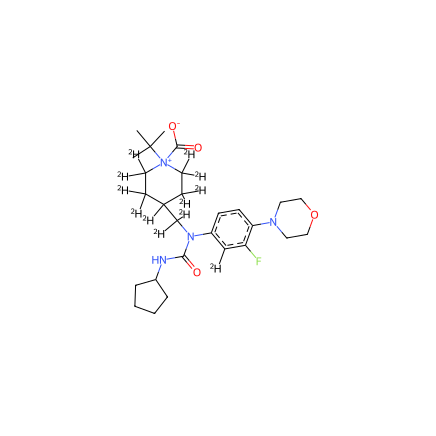 [2H]c1c(N(C(=O)NC2CCCC2)C([2H])([2H])C2([2H])C([2H])([2H])C([2H])([2H])[N+](C(=O)[O-])(C(C)(C)C)C([2H])([2H])C2([2H])[2H])ccc(N2CCOCC2)c1F